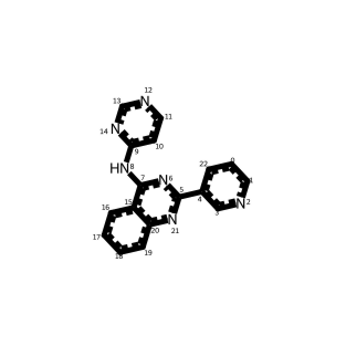 c1cncc(-c2nc(Nc3ccncn3)c3ccccc3n2)c1